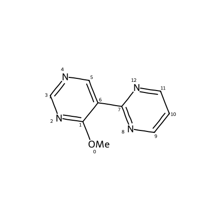 COc1n[c]ncc1-c1ncccn1